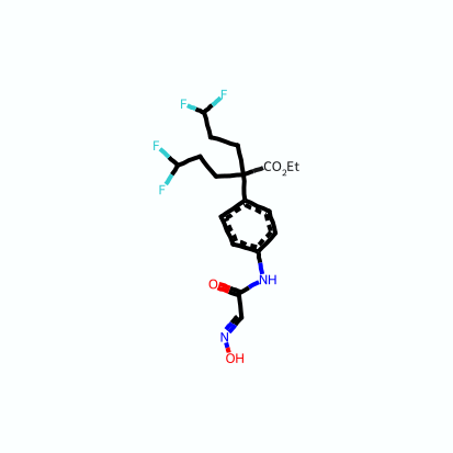 CCOC(=O)C(CCC(F)F)(CCC(F)F)c1ccc(NC(=O)C=NO)cc1